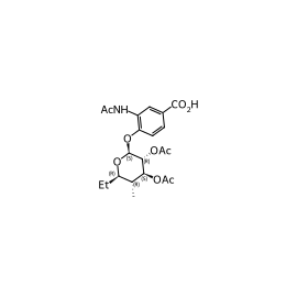 CC[C@H]1O[C@@H](Oc2ccc(C(=O)O)cc2NC(C)=O)[C@H](OC(C)=O)[C@@H](OC(C)=O)[C@@H]1C